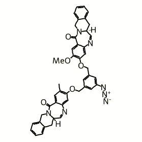 COc1cc2c(cc1OCc1cc(COc3cc4c(cc3C)C(=O)N3Cc5ccccc5C[C@H]3C=N4)cc(N=[N+]=[N-])c1)N=C[C@@H]1Cc3ccccc3CN1C2=O